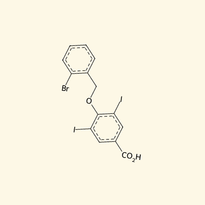 O=C(O)c1cc(I)c(OCc2ccccc2Br)c(I)c1